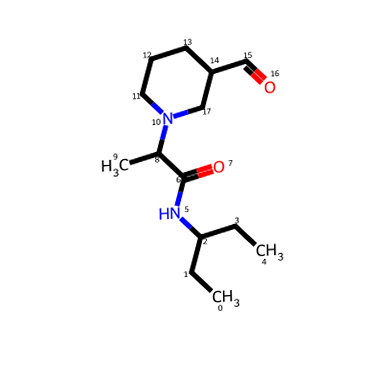 CCC(CC)NC(=O)C(C)N1CCCC(C=O)C1